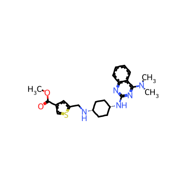 COC(=O)c1csc(CN[C@H]2CC[C@@H](Nc3nc(N(C)C)c4ccccc4n3)CC2)c1